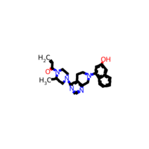 C=CC(=O)N1CCN(c2ncnc3c2CCN(c2cc(O)cc4ccccc24)C3)CC1C